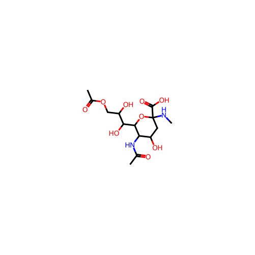 CNC1(C(=O)O)CC(O)C(NC(C)=O)C(C(O)C(O)COC(C)=O)O1